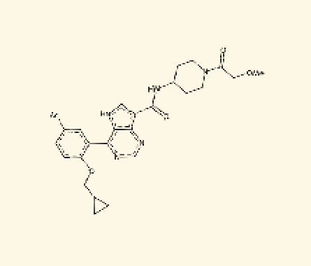 COCC(=O)N1CCC(NC(=O)c2c[nH]c3c(-c4cc(C(C)=O)ccc4OCC4CC4)ncnc23)CC1